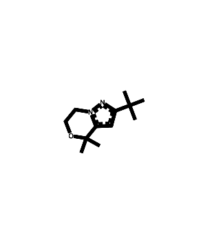 CC(C)(C)c1cc2n(n1)CCOC2(C)C